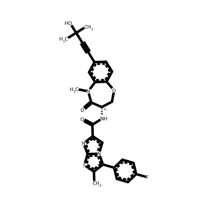 Cc1sc2nc(C(=O)N[C@H]3COc4ccc(C#CC(C)(C)O)cc4N(C)C3=O)cn2c1-c1ccc(F)cc1